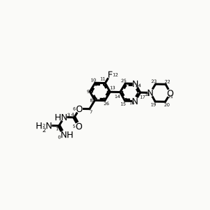 N=C(N)NC(=O)OCc1ccc(F)c(-c2cnc(N3CCOCC3)nc2)c1